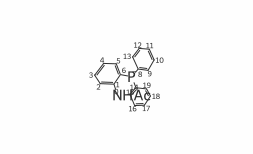 CC(=O)Nc1ccccc1P(c1ccccc1)c1ccccc1